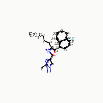 CCOC(=O)CCCc1nc(-c2c[nH]c(C)n2)oc1-c1ccc(F)c2ccccc12